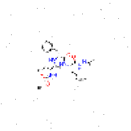 C=C(N[C@H](Cc1ccccc1)C(=O)N[C@@H](CCSC)C(=O)NN=C(C)C)[C@H](CC(C)C)NC(=O)OC(C)(C)C